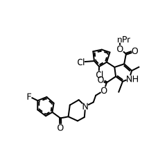 CCCOC(=O)C1=C(C)NC(C)=C(C(=O)OCCN2CCC(C(=O)c3ccc(F)cc3)CC2)C1c1cccc(Cl)c1Cl